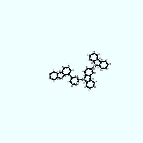 c1ccc2c(c1)sc1c(-c3ccnc(-n4c5ccccc5c5cc(-n6c7ccccc7c7ccccc76)ccc54)n3)cccc12